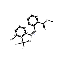 COC(=O)c1ccccc1/C=N\c1cccc(F)c1C(F)(F)F